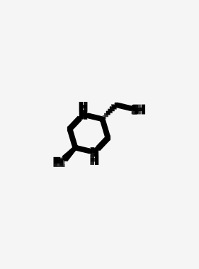 CC[C@H]1CN[C@H](CS)CN1